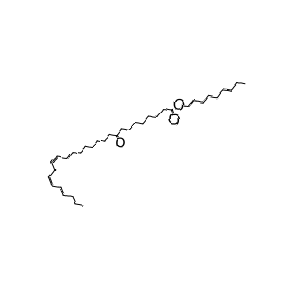 CCCCC/C=C\C/C=C\CCCCCCCCC(=O)CCCCCCCC(=O)OCCCCCCCCC